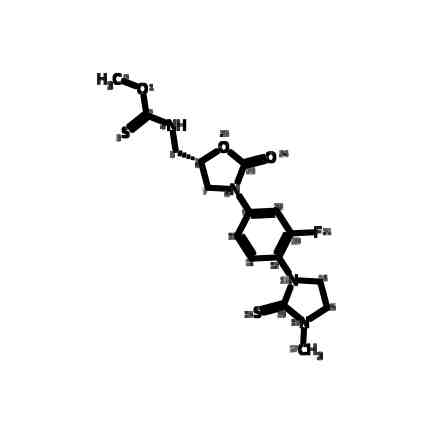 COC(=S)NC[C@H]1CN(c2ccc(N3CCN(C)C3=S)c(F)c2)C(=O)O1